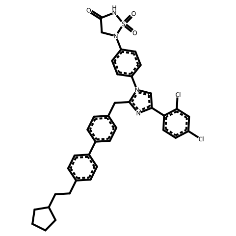 O=C1CN(c2ccc(-n3cc(-c4ccc(Cl)cc4Cl)nc3Cc3ccc(-c4ccc(CCC5CCCC5)cc4)cc3)cc2)S(=O)(=O)N1